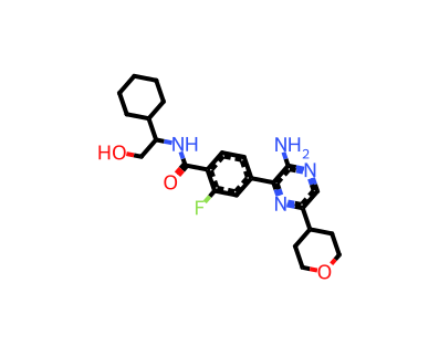 Nc1ncc(C2CCOCC2)nc1-c1ccc(C(=O)NC(CO)C2CCCCC2)c(F)c1